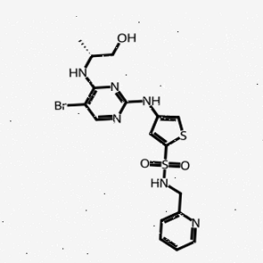 C[C@H](CO)Nc1nc(Nc2csc(S(=O)(=O)NCc3ccccn3)c2)ncc1Br